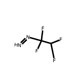 N=NC(F)(F)C(F)F